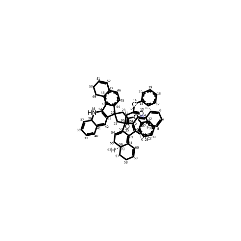 NC1=C(/C=C2/C=CC=CC2)C(CC(=O)Oc2ccccc2)(CC2(CC(=O)Oc3ccccc3)C3=C(NC4C=CC=CC4=C3)c3c2ccc2c3CCC=C2)C2=CC[C@@H]3CCC=CC3=C21